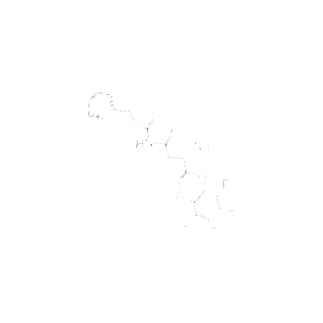 N[C@@H](CC(=O)NC(=O)OCc1ccccc1)C(=O)Oc1c(F)c(F)c(F)c(F)c1F